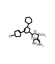 CC(N[C@H](C)/C(=C/N)CN)C1CC(C2=CCC(Cl)CC2)=CC(C2CCCCC2)C1